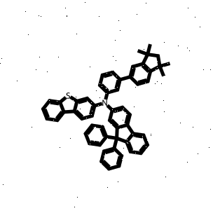 CC1(C)CC(C)(C)c2cc(-c3cccc(N(c4ccc5c(c4)C(c4ccccc4)(c4ccccc4)c4ccccc4-5)c4ccc5c(c4)sc4ccccc45)c3)ccc21